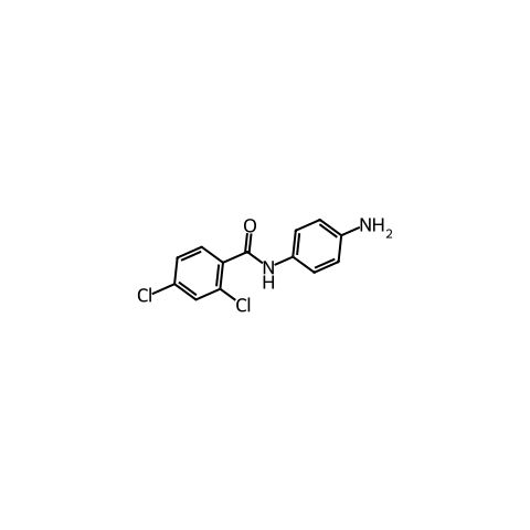 Nc1ccc(NC(=O)c2ccc(Cl)cc2Cl)cc1